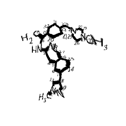 C=C(Nc1cc2cc(-c3cnn(C)c3)ccc2cn1)C1CCC(CN2CCN(C)CC2)CC1